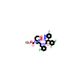 CC(C)(C)OC(=O)N1CC(CCc2c(F)cccc2NC(=O)[C@@H](N=[N+]=[N-])[C@@H](c2ccc(F)cc2)c2cc(F)cc(F)c2)N2CC1CCCS2(=O)=O